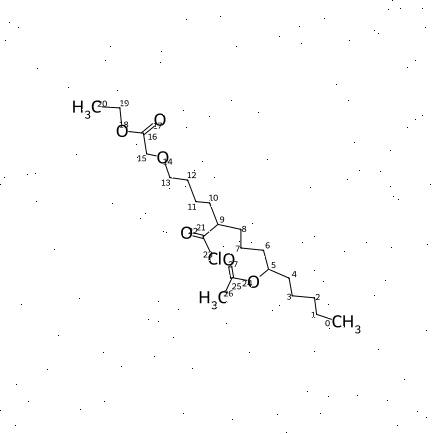 CCCCCC(CCCC(CCCCOCC(=O)OCC)C(=O)Cl)OC(C)=O